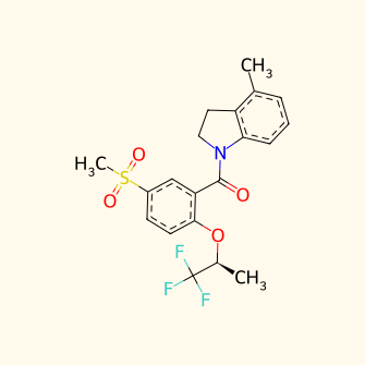 Cc1cccc2c1CCN2C(=O)c1cc(S(C)(=O)=O)ccc1O[C@@H](C)C(F)(F)F